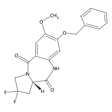 COc1cc2c(cc1OCc1ccccc1)NC(=O)[C@@H]1CC(F)(F)CN1C2=O